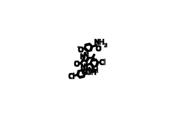 COc1ccc(C(N)=O)cc1-n1nc2c(c1C(C)C)C1(C(=O)Nc3cc(Cl)ccc31)N(c1cc(Cl)ccc1O)C2=O